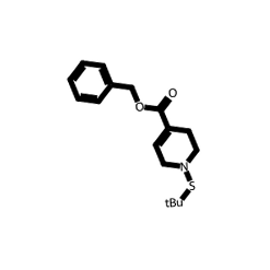 CC(C)(C)SN1CC=C(C(=O)OCc2ccccc2)CC1